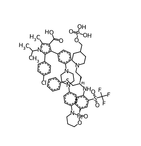 Cc1c(C(=O)O)c(-c2cccc(N3CCN(c4ccc(N5CCCO[P@]5(=O)c5ccc(N[C@H](CCN6CCC(COP(=O)(O)O)CC6)CSc6ccccc6)c(S(=O)(=O)C(F)(F)F)c5)cc4)CC3)c2)c(-c2ccc(Cl)cc2)n1C(C)C